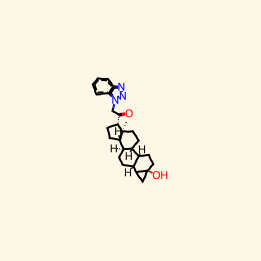 C[C@]12CC[C@@H]3[C@H]4CC[C@]5(O)CC5[C@H]4CC[C@H]3[C@@H]1CC[C@@H]2C(=O)Cn1nnc2ccccc21